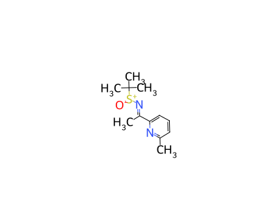 C/C(=N\[S@+]([O-])C(C)(C)C)c1cccc(C)n1